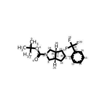 CC(C)(C)OC(=O)N1C[C@H]2C[C@@H](c3ccccc3C(F)(F)F)C[C@H]2C1